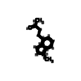 CC(=O)CCc1cccc2c1ccn2C